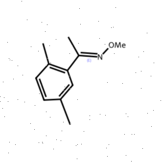 CO/N=C(\C)c1cc(C)ccc1C